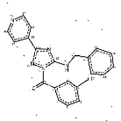 O=C(c1cccc(Cl)c1)n1nc(-c2ccncc2)nc1NCc1ccccc1